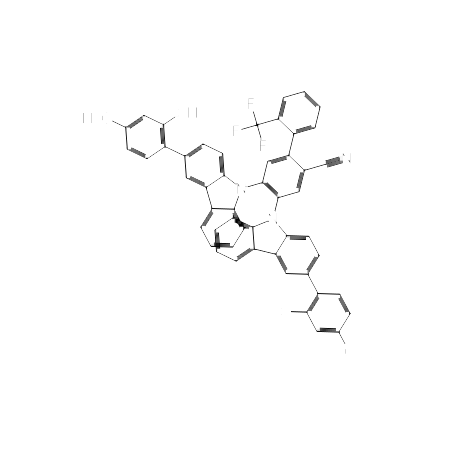 Cc1ccc(-c2ccc3c(c2)c2ccccc2n3-c2cc(C#N)c(-c3ccccc3C(F)(F)F)cc2-n2c3ccccc3c3cc(-c4ccc(C)cc4C)ccc32)c(C)c1